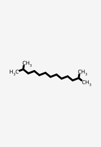 CC(C)CCCCCCCCCC(C)C